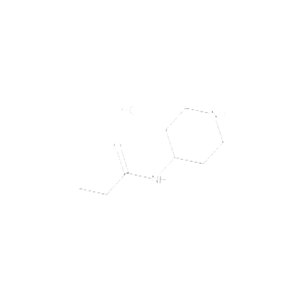 CCC(=O)NC1CCNCC1.Cl